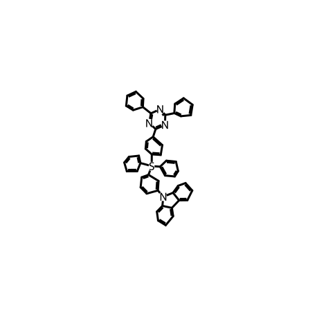 c1ccc(-c2nc(-c3ccccc3)nc(-c3ccc(S(c4ccccc4)(c4ccccc4)c4cccc(-n5c6ccccc6c6ccccc65)c4)cc3)n2)cc1